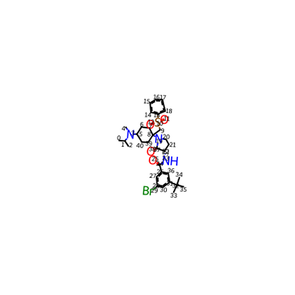 CC(C)N(C)C1CCC(CS(=O)(=O)c2ccccc2)(N2CC[C@H](NC(=O)c3cc(Br)cc(C(C)(C)C)c3)C2=O)CC1